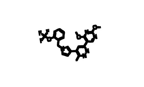 COc1ncc(-c2cc(-c3ccn(Cc4ccccc4OC(F)(F)F)c3)c(C)nn2)c(OC)n1